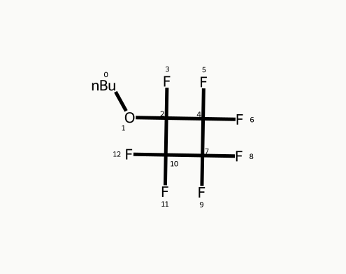 CCCCOC1(F)C(F)(F)C(F)(F)C1(F)F